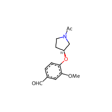 COc1cc(C=O)ccc1O[C@H]1CCN(C(C)=O)C1